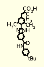 CC(=Cc1cc(C)c(-c2nc3ccc(C(=O)Nc4ccc(C(C)(C)C)cc4)cc3[nH]2)c(C)c1)C(=O)O